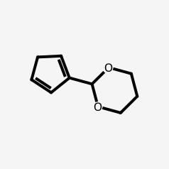 C1=CC(C2OCCCO2)=CC1